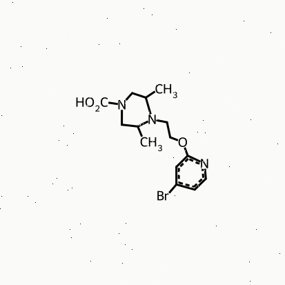 CC1CN(C(=O)O)CC(C)N1CCOc1cc(Br)ccn1